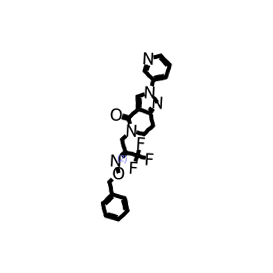 O=C1c2cn(-c3cccnc3)nc2CCN1C/C(=N/OCc1ccccc1)C(F)(F)F